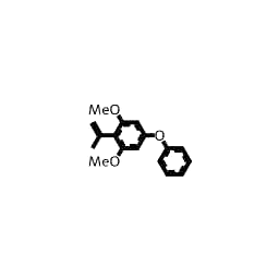 C=C(C)c1c(OC)cc(Oc2ccccc2)cc1OC